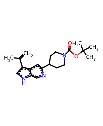 C=C(C)c1c[nH]c2cnc(C3CCN(C(=O)OC(C)(C)C)CC3)cc12